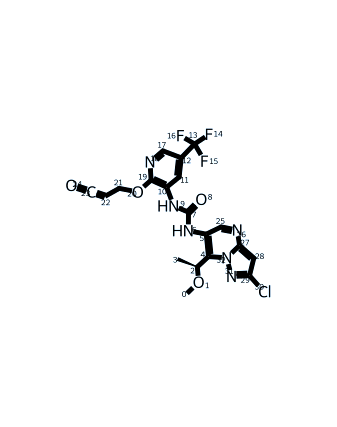 CO[C@@H](C)c1c(NC(=O)Nc2cc(C(F)(F)F)cnc2OCC=C=O)cnc2cc(Cl)nn12